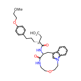 COCCOc1ccc(CCC[C@H](CC(=O)O)C(=O)NC2Cc3cn(c4ccccc34)CCOCCNC2=O)cc1